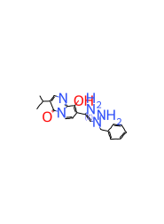 CC(C)c1cnc2c(O)c(/C(N)=C/N(N)Cc3ccccc3)ccn2c1=O